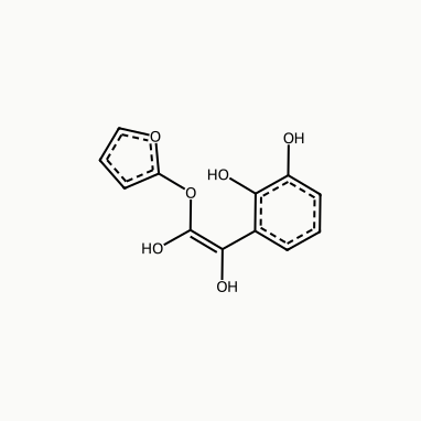 OC(Oc1ccco1)=C(O)c1cccc(O)c1O